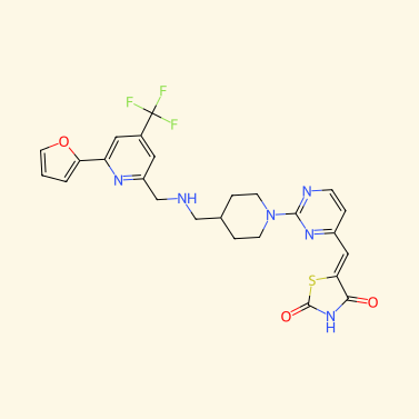 O=C1NC(=O)C(=Cc2ccnc(N3CCC(CNCc4cc(C(F)(F)F)cc(-c5ccco5)n4)CC3)n2)S1